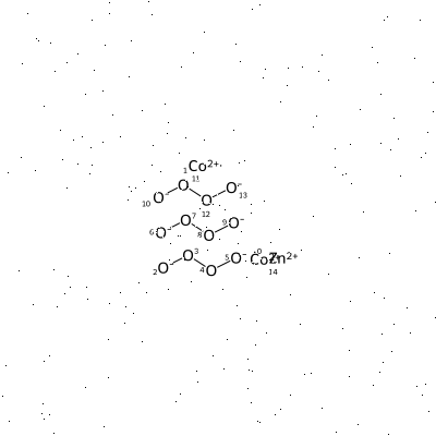 [Co+2].[Co+2].[O-]OO[O-].[O-]OO[O-].[O-]OO[O-].[Zn+2]